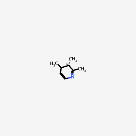 CC1=NC=CC(C)[C@@H]1C